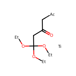 CCOC(CC(=O)CC(C)=O)(OCC)OCC.[Ti]